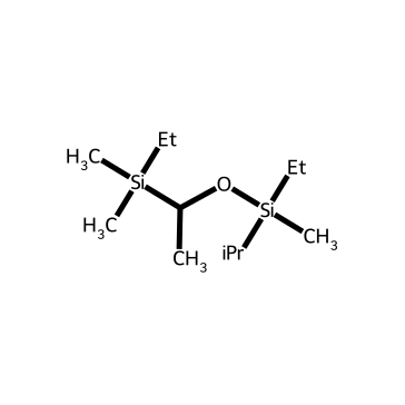 CC[Si](C)(C)C(C)O[Si](C)(CC)C(C)C